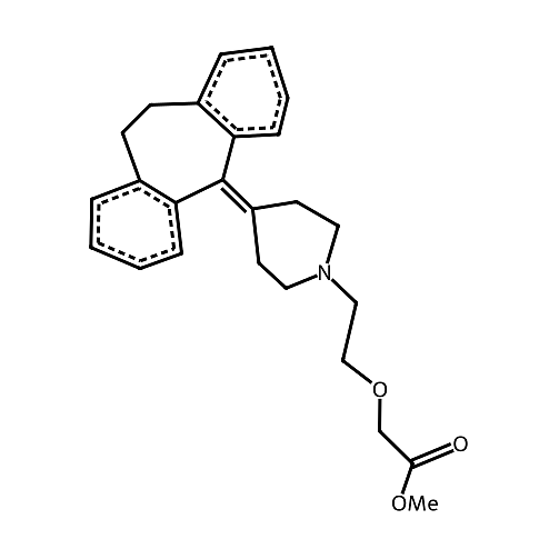 COC(=O)COCCN1CCC(=C2c3ccccc3CCc3ccccc32)CC1